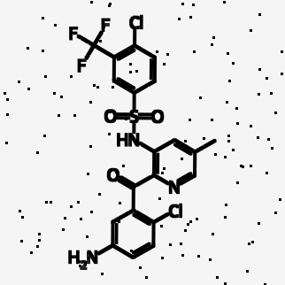 Cc1cnc(C(=O)c2cc(N)ccc2Cl)c(NS(=O)(=O)c2ccc(Cl)c(C(F)(F)F)c2)c1